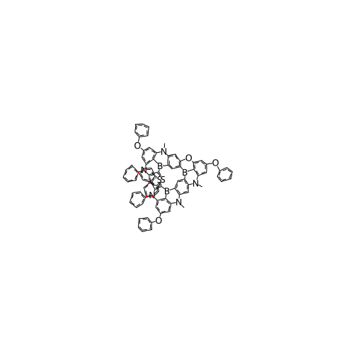 CN1c2cc3c(cc2B2c4cc5c(cc4Oc4cc(Oc6ccccc6)cc1c42)N(C)c1cc(Oc2ccccc2)cc2c1B5c1sc4ccccc4c1N2c1ccccc1)B1c2sc4ccccc4c2N(c2ccccc2)c2cc(Oc4ccccc4)cc(c21)N3C